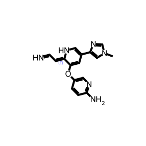 Cn1cnc(C2=CN/C(=C\C=N)C(Oc3ccc(N)nc3)=C2)c1